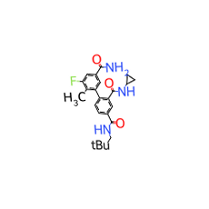 Cc1c(F)cc(C(N)=O)cc1-c1ccc(C(=O)NCC(C)(C)C)cc1C(=O)NC1CC1